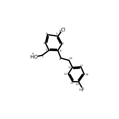 OCc1ccc(Cl)cc1CCc1ccc(F)cc1